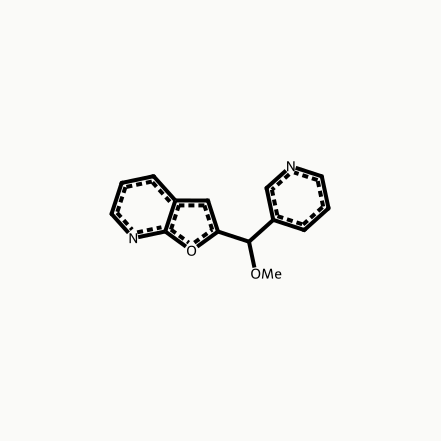 COC(c1cccnc1)c1cc2cccnc2o1